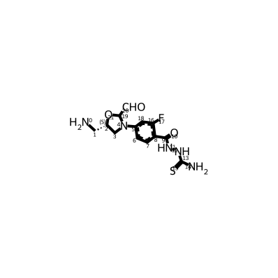 NC[C@H]1CN(c2ccc(C(=O)NNC(N)=S)c(F)c2)C(C=O)O1